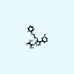 CN1CCC=C(c2nonc2SCCOc2ccccc2)C1.O=C(O)C(=O)O